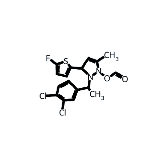 CC1=CC(c2ccc(F)s2)N(C(C)c2ccc(Cl)c(Cl)c2)N1OC=O